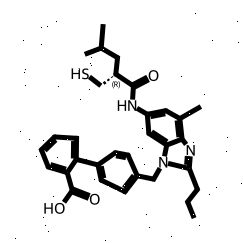 CCCc1nc2c(C)cc(NC(=O)[C@H](CS)CC(C)C)cc2n1Cc1ccc(-c2ccccc2C(=O)O)cc1